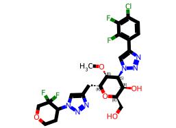 CO[C@@H]1[C@@H](n2cc(-c3ccc(Cl)c(F)c3F)nn2)[C@@H](O)[C@@H](CO)O[C@@H]1Cc1cn(C2CCOCC2(F)F)nn1